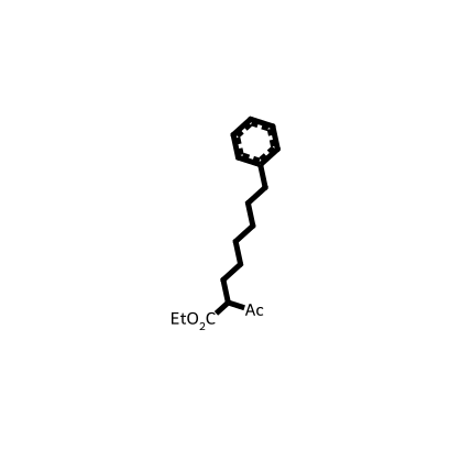 CCOC(=O)C(CCCCCCc1ccccc1)C(C)=O